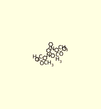 Cc1cc(-n2c3ccccc3c3c2ccc2c4ccccc4n(-c4cc(C)c(C(=O)c5ccccc5)c(C)c4)c23)cc(C)c1C(=O)c1ccccc1